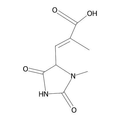 CC(=CC1C(=O)NC(=O)N1C)C(=O)O